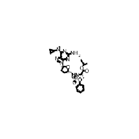 CC(C)OC(=O)[C@H](C)N[P@](=O)(OC[C@@H]1CC[C@H](n2cnc3c(N(C)C4CC4)nc(N)nc32)O1)Oc1ccccc1